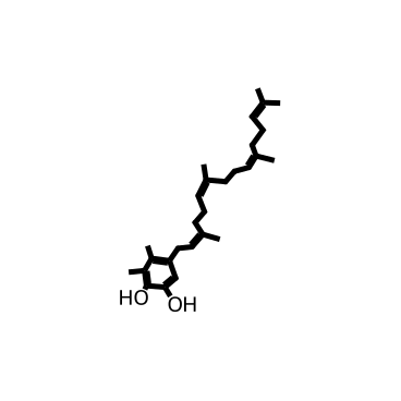 CC(C)=CCCC(C)=CCCC(C)=CCCC(C)=CCc1cc(O)c(O)c(C)c1C